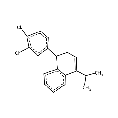 CC(C)C1=CCC(c2ccc(Cl)c(Cl)c2)c2ccccc21